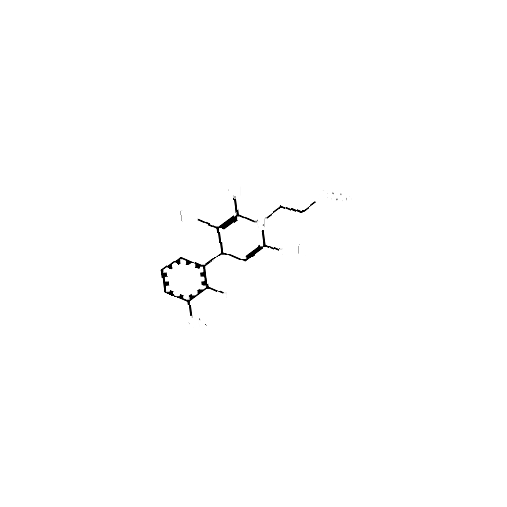 COCCN1C(C)=CC(c2cccc(C#N)c2Cl)C(C(C)C)=C1C